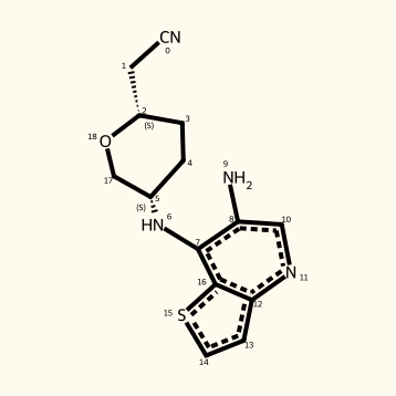 N#CC[C@@H]1CC[C@H](Nc2c(N)cnc3ccsc23)CO1